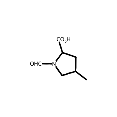 CC1CC(C(=O)O)N(C=O)C1